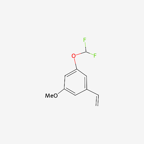 C=Cc1cc(OC)cc(OC(F)F)c1